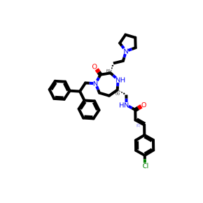 O=C(/C=C/c1ccc(Cl)cc1)NC[C@@H]1CCN(CC(c2ccccc2)c2ccccc2)C(=O)[C@H](CCN2CCCC2)N1